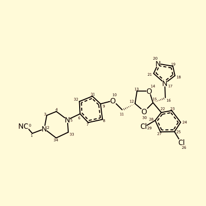 N#CCN1CCN(c2ccc(OC[C@@H]3CO[C@@](Cn4ccnc4)(c4ccc(Cl)cc4Cl)O3)cc2)CC1